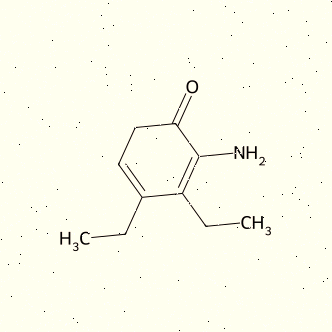 CCC1=CCC(=O)C(N)=C1CC